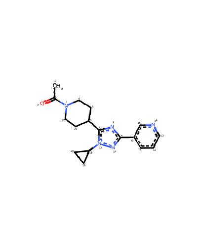 CC(=O)N1CCC(c2nc(-c3c[c]cnc3)nn2C2CC2)CC1